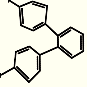 Ic1ccc(-c2ccccc2-c2ccc(I)cc2)cc1